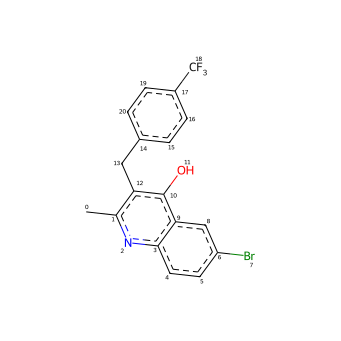 Cc1nc2ccc(Br)cc2c(O)c1Cc1ccc(C(F)(F)F)cc1